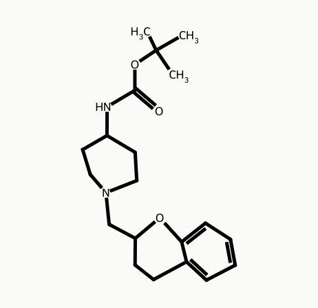 CC(C)(C)OC(=O)NC1CCN(CC2CCc3ccccc3O2)CC1